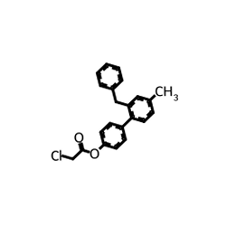 Cc1ccc(-c2ccc(OC(=O)CCl)cc2)c(Cc2ccccc2)c1